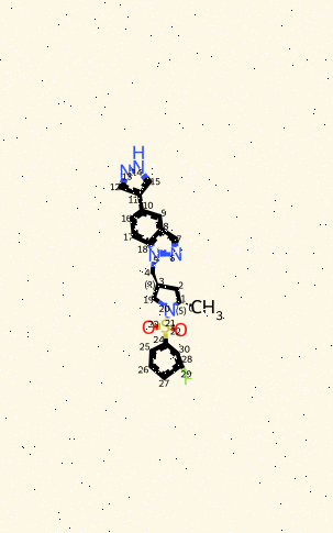 C[C@H]1C[C@H](Cn2ncc3cc(-c4cn[nH]c4)ccc32)CN1S(=O)(=O)c1cccc(F)c1